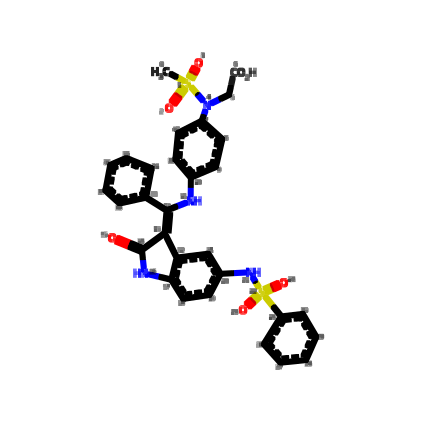 CS(=O)(=O)N(CC(=O)O)c1ccc(NC(=C2C(=O)Nc3ccc(NS(=O)(=O)c4ccccc4)cc32)c2ccccc2)cc1